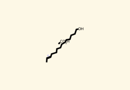 C/C=C/CCCCCCCCCCCO.CC(=O)O